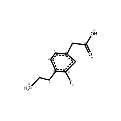 NCCc1ccc(CC(=O)O)cc1F